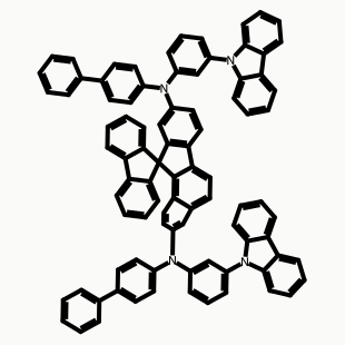 c1ccc(-c2ccc(N(c3cccc(-n4c5ccccc5c5ccccc54)c3)c3ccc4c(c3)C3(c5ccccc5-c5ccccc53)c3c-4ccc4cc(N(c5ccc(-c6ccccc6)cc5)c5cccc(-n6c7ccccc7c7ccccc76)c5)ccc34)cc2)cc1